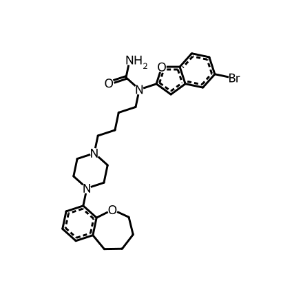 NC(=O)N(CCCCN1CCN(c2cccc3c2OCCCC3)CC1)c1cc2cc(Br)ccc2o1